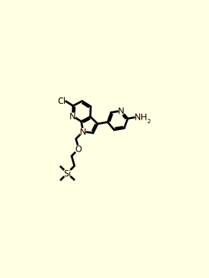 C[Si](C)(C)CCOCn1cc(-c2ccc(N)nc2)c2ccc(Cl)nc21